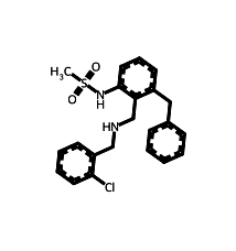 CS(=O)(=O)Nc1cccc(Cc2ccccc2)c1CNCc1ccccc1Cl